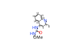 CONC(=O)Nc1cc(C)nc2ccccc12